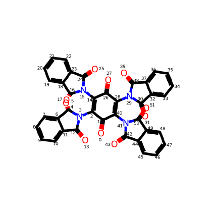 O=C1C(N2C(=O)c3ccccc3C2=O)=C(N2C(=O)c3ccccc3C2=O)C(=O)C(N2C(=O)c3ccccc3C2=O)=C1N1C(=O)c2ccccc2C1=O